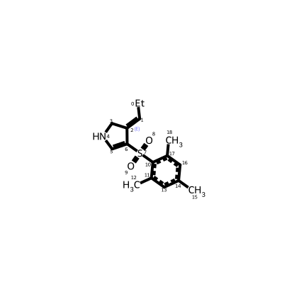 CC/C=C1\CNC=C1S(=O)(=O)c1c(C)cc(C)cc1C